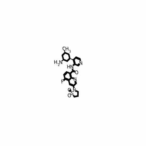 C[C@@H]1C[C@H](N)C[C@H](c2ccncc2NC(=O)c2ccc(F)c3cc(N4CCCS4(=O)=O)cnc23)C1